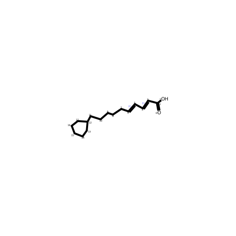 O=C(O)/C=C/C=C/CCCCCC1CCCCC1